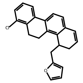 Clc1cccc2c1CCc1c-2ccc2c1C(Cc1ccco1)CC=C2